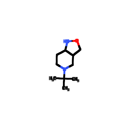 CC(C)(C)N1CCC2NOCC2C1